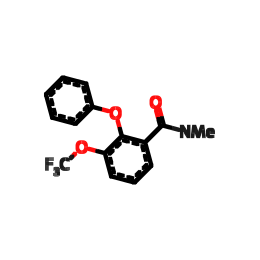 CNC(=O)c1cccc(OC(F)(F)F)c1Oc1ccccc1